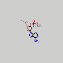 CC(C)(C)OC[C@H]1O[C@@H](n2cnc3c(N)ncnc32)CC1OP(=O)(O)OC(C)(C)C